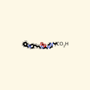 O=C(O)CCCN1CCN(CC2CN(CCCCC3CCN(Cc4ccccc4)CC3)C(=O)O2)CC1